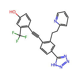 Oc1ccc(C#Cc2ccc(-c3nnn[nH]3)cc2CCc2ccccn2)c(C(F)(F)F)c1